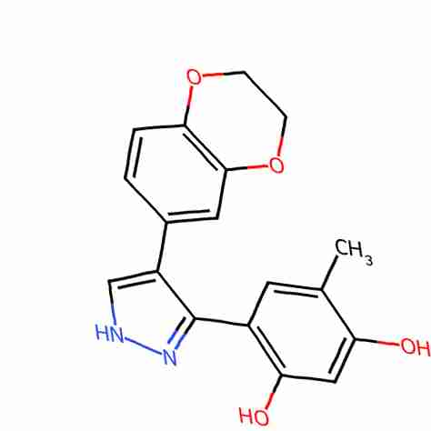 Cc1cc(-c2n[nH]cc2-c2ccc3c(c2)OCCO3)c(O)cc1O